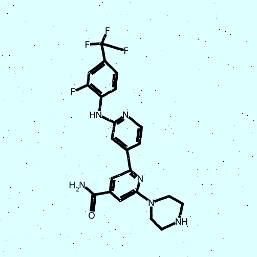 NC(=O)c1cc(-c2ccnc(Nc3ccc(C(F)(F)F)cc3F)c2)nc(N2CCNCC2)c1